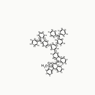 CC1(C)c2ccccc2-c2c1cc(-n1c3ccccc3c3cc(-c4cc(-c5cccc(N(c6ccccc6)c6ccccc6)c5)cc(-c5ccc6c(c5)c5ccccc5n6-c5ccccc5)c4)ccc31)c1ccccc21